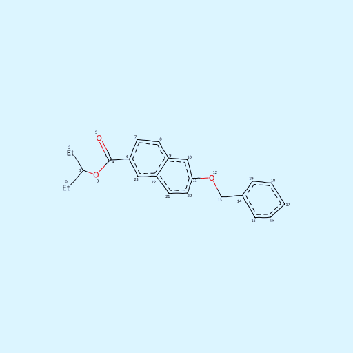 CCC(CC)OC(=O)c1ccc2cc(OCc3ccccc3)ccc2c1